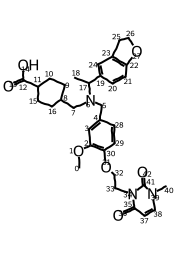 COc1cc(CN(CC2CCC(C(=O)O)CC2)C(C)c2ccc3c(c2)CCO3)ccc1OCCn1c(=O)ccn(C)c1=O